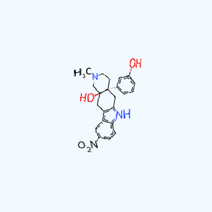 CN1CC[C@@]2(c3cccc(O)c3)Cc3[nH]c4ccc([N+](=O)[O-])cc4c3C[C@]2(O)C1